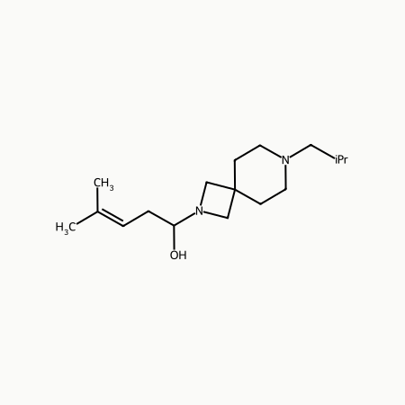 CC(C)=CCC(O)N1CC2(CCN(CC(C)C)CC2)C1